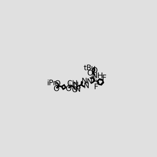 CC(C)OC(=O)C1CC(O[C@H](C)c2nc(-c3cnc(N4C[C@H](NC(=O)OC(C)(C)C)[C@@H](c5cc(F)ccc5F)C4)nc3)no2)C1